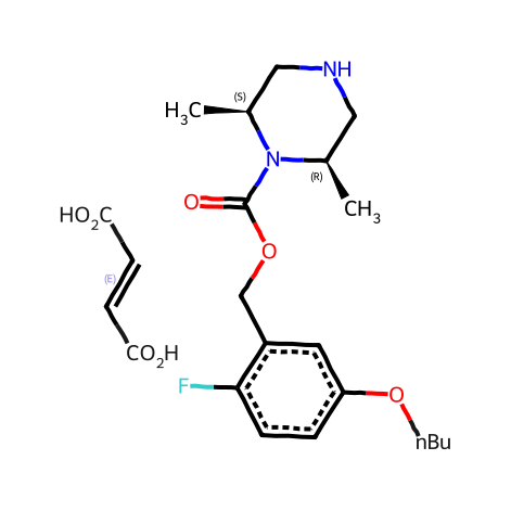 CCCCOc1ccc(F)c(COC(=O)N2[C@H](C)CNC[C@@H]2C)c1.O=C(O)/C=C/C(=O)O